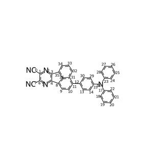 N#Cc1nc2c(nc1C#N)-c1ccc(-c3ccc(N(c4ccccc4)c4ccccc4)cc3)c3cccc-2c13